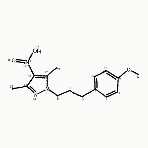 COc1ccc(CCCn2nc(C)c([N+](=O)O)c2C)cc1